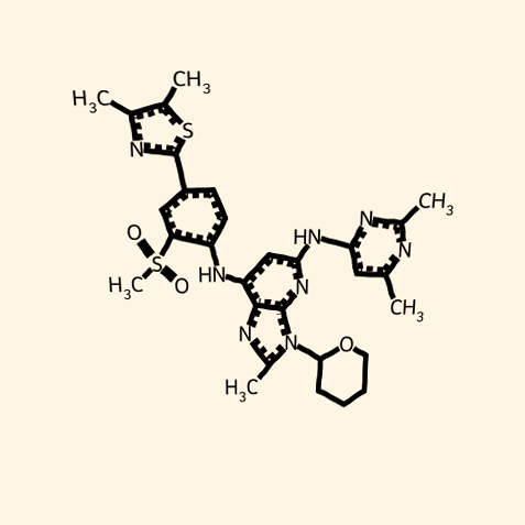 Cc1cc(Nc2cc(Nc3ccc(-c4nc(C)c(C)s4)cc3S(C)(=O)=O)c3nc(C)n(C4CCCCO4)c3n2)nc(C)n1